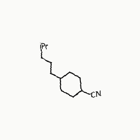 CC(C)CCCC1CCC(C#N)CC1